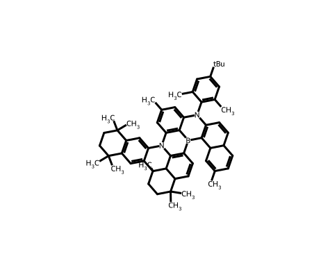 CC1=CC2C3=C(C=CC2C=C1)N(c1c(C)cc(C(C)(C)C)cc1C)c1cc(C)cc2c1B3C1=C3C4C(C=C1)C(C)(C)CCC4(C)c1cc4c(cc1N32)C(C)(C)CCC4(C)C